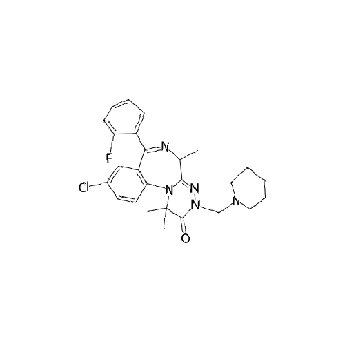 CC1N=C(c2ccccc2F)c2cc(Cl)ccc2N2C1=NN(CN1CCCCC1)C(=O)C2(C)C